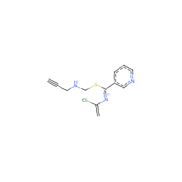 C#CCNCS/C(=N\C(=C)Cl)c1cccnc1